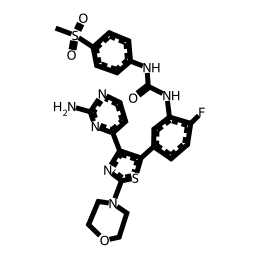 CS(=O)(=O)c1ccc(NC(=O)Nc2cc(-c3sc(N4CCOCC4)nc3-c3ccnc(N)n3)ccc2F)cc1